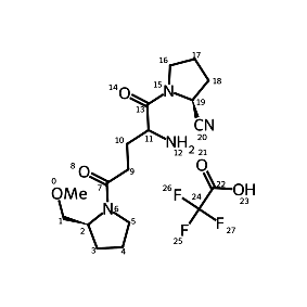 COC[C@@H]1CCCN1C(=O)CCC(N)C(=O)N1CCC[C@H]1C#N.O=C(O)C(F)(F)F